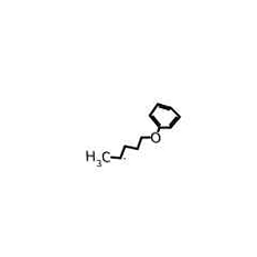 C[CH]CCCOc1ccccc1